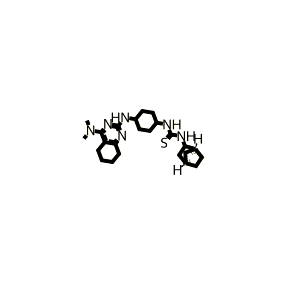 CN(C)c1nc(NC2CCC(NC(=S)NC3C[C@@H]4CC[C@H]3C4)CC2)nc2c1CCCC2